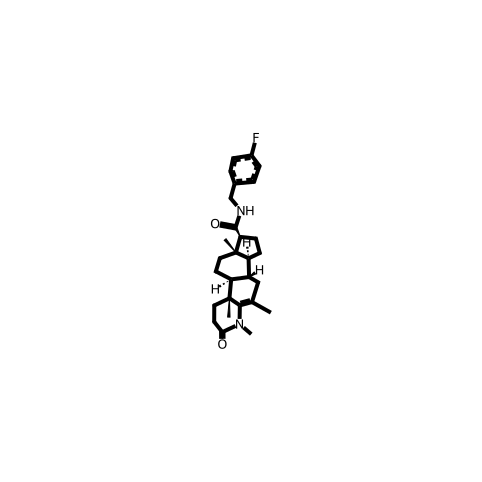 CC1=C2N(C)C(=O)CC[C@]2(C)[C@H]2CC[C@]3(C)[C@@H](C(=O)NCc4ccc(F)cc4)CC[C@H]3[C@@H]2C1